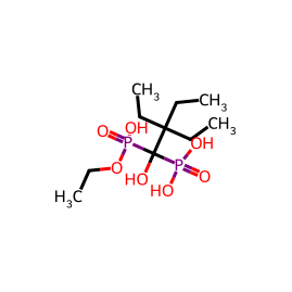 CCOP(=O)(O)C(O)(C(CC)(CC)CC)P(=O)(O)O